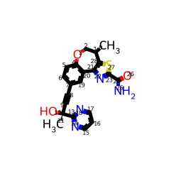 CC1COc2ccc(C#C[C@](C)(O)c3ncccn3)cc2-c2nc(C(N)=O)sc21